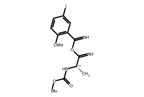 COc1ccc(I)cc1C(=N)OC(=N)[C@H](C)NC(=O)OC(C)(C)C